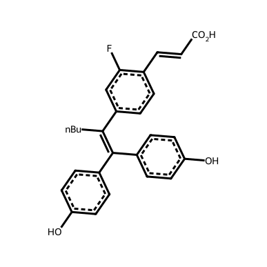 CCCCC(=C(c1ccc(O)cc1)c1ccc(O)cc1)c1ccc(C=CC(=O)O)c(F)c1